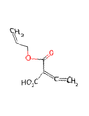 C=C=C(C(=O)O)C(=O)OCC=C